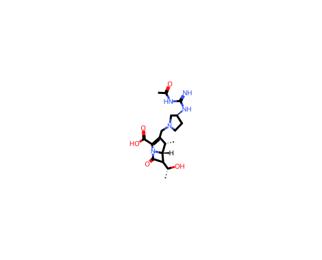 CC(=O)NC(=N)N[C@H]1CCN(CC2=C(C(=O)O)N3C(=O)C([C@@H](C)O)[C@H]3[C@H]2C)C1